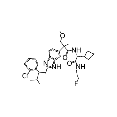 COCC(C)(C(=O)N[C@@H](C(=O)NCCF)C1CCC1)c1ccc2nc(C[C@H](c3ccccc3Cl)C(C)C)[nH]c2c1